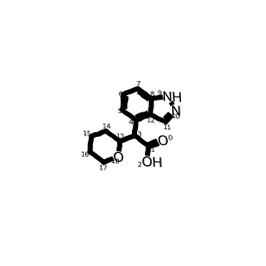 O=C(O)C(c1cccc2[nH]ncc12)C1CCCCO1